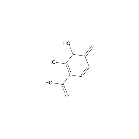 C=C1C=CC(C(=O)O)=C(O)C1O